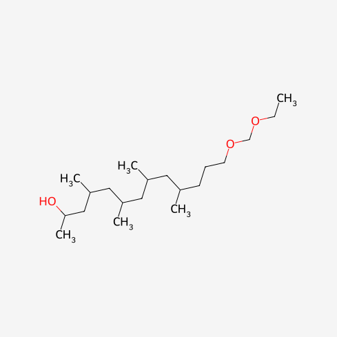 CCOCOCCCC(C)CC(C)CC(C)CC(C)CC(C)O